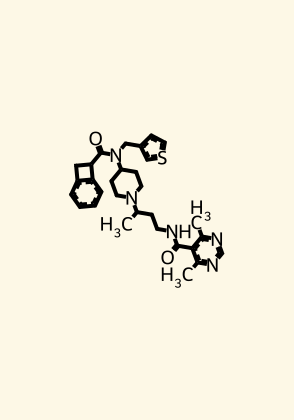 Cc1ncnc(C)c1C(=O)NCCC(C)N1CCC(N(Cc2ccsc2)C(=O)C2Cc3ccccc32)CC1